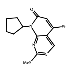 CCc1cc(=O)n(C2CCCC2)c2nc(SC)ncc12